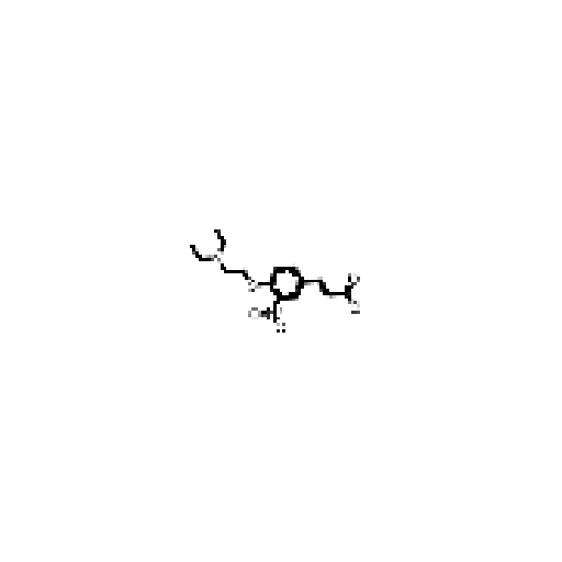 CCN(CC)CCSc1ccc(C=CC(=O)O)cc1[N+](=O)[O-]